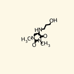 Cn1cc(NCCCO)c(=O)n(C)c1=O